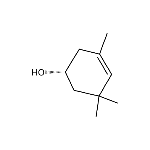 CC1=CC(C)(C)C[C@H](O)C1